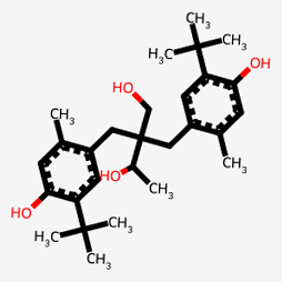 Cc1cc(O)c(C(C)(C)C)cc1CC(CO)(Cc1cc(C(C)(C)C)c(O)cc1C)C(C)O